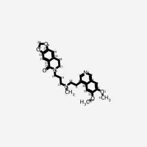 COc1cc2cncc(CCN(C)CCCN3CCc4cc5c(cc4C3=O)OCO5)c2cc1OC